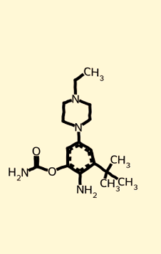 CCN1CCN(c2cc(OC(N)=O)c(N)c(C(C)(C)C)c2)CC1